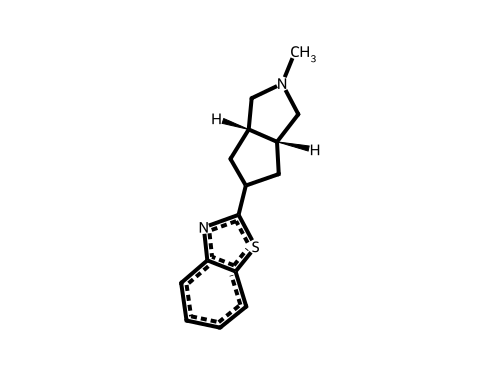 CN1C[C@H]2CC(c3nc4ccccc4s3)C[C@H]2C1